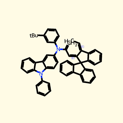 C=C(/C=C1\C(=C/C)c2ccccc2C12c1ccccc1-c1ccccc12)N(c1cccc(C(C)(C)C)c1)c1ccc2c(c1)c1ccccc1n2-c1ccccc1